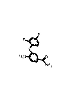 NC(=O)c1ccc(N)c(Sc2ccc(F)cc2F)c1